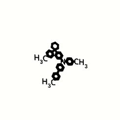 Cc1ccc(-c2ccc(N(c3ccc(C)cc3)c3ccc(C4(c5ccc(C)cc5)CCCCC4)cc3)cc2)cc1